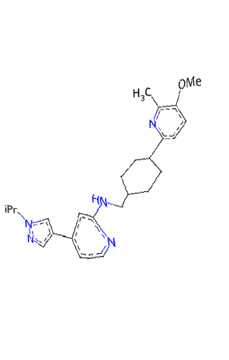 COc1ccc(C2CCC(CNc3cc(-c4cnn(C(C)C)c4)ccn3)CC2)nc1C